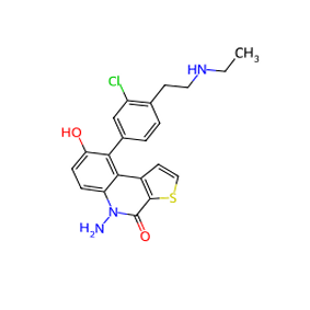 CCNCCc1ccc(-c2c(O)ccc3c2c2ccsc2c(=O)n3N)cc1Cl